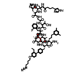 CCc1cc(OCCCCN=[N+]=[N-])ccc1-c1ccc(C[C@H](NC(=O)[C@H](CC(=O)O)NC(=O)[C@H](C)NC(=O)[C@@H](NC(=O)[C@](C)(Cc2ccccc2F)NC(=O)[C@@H](NC(=O)CNC(=O)[C@H](Cc2nn[nH]n2)NC(=O)C(C)(C)NC(=O)CCCc2c[nH]cn2)[C@@H](C)O)[C@@H](C)O)C(=O)N[C@@H](CCCc2cc(C)cc(C)c2)C(N)=O)cc1